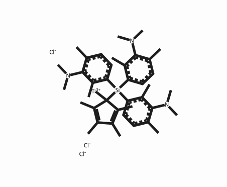 CC1=C(C)[C]([Ti+3])([Si](c2ccc(C)c(N(C)C)c2C)(c2ccc(C)c(N(C)C)c2C)c2ccc(C)c(N(C)C)c2C)C(C)=C1C.[Cl-].[Cl-].[Cl-]